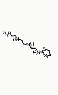 NCCNCCNCCNC1=NCCS1